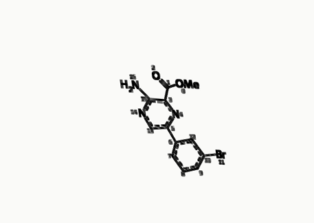 COC(=O)c1nc(-c2cccc(Br)c2)cnc1N